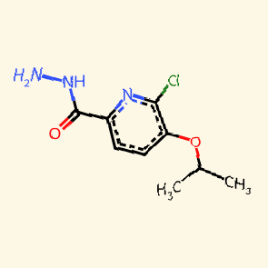 CC(C)Oc1ccc(C(=O)NN)nc1Cl